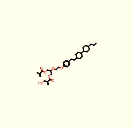 C=C(C)C(=O)OCC(COC(=O)C(=C)CO)OCCOc1ccc(CCC2CCC(C3CCC(CCC)CC3)CC2)cc1